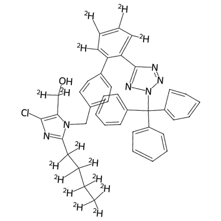 [2H]c1c([2H])c([2H])c(-c2nnn(C(c3ccccc3)(c3ccccc3)c3ccccc3)n2)c(-c2ccc(Cn3c(C([2H])([2H])C([2H])([2H])C([2H])([2H])C([2H])([2H])[2H])nc(Cl)c3C([2H])([2H])O)cc2)c1[2H]